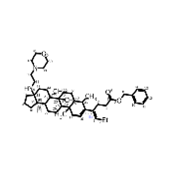 CC/C=C(\CCC(=O)OCc1ccccc1)C1=CCC2(C)C(CCC3(C)C2CCC2[C@H]4CCCC4(NCCN4CCOCC4)CC[C@]23C)C1C